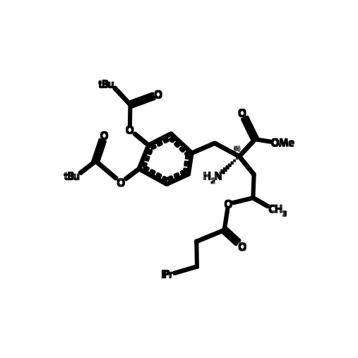 COC(=O)[C@](N)(Cc1ccc(OC(=O)C(C)(C)C)c(OC(=O)C(C)(C)C)c1)CC(C)OC(=O)CCC(C)C